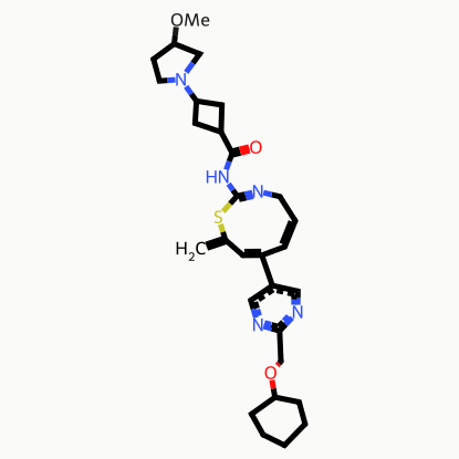 C=C1/C=C(c2cnc(COC3CCCCC3)nc2)\C=C/C/N=C(/NC(=O)C2CC(N3CCC(OC)C3)C2)S1